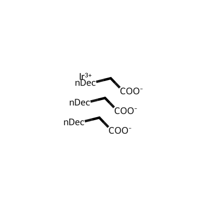 CCCCCCCCCCCC(=O)[O-].CCCCCCCCCCCC(=O)[O-].CCCCCCCCCCCC(=O)[O-].[Ir+3]